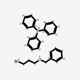 BrCCCOCc1ccccc1.c1ccc(P(c2ccccc2)c2ccccc2)cc1